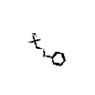 FC(F)(F)C(F)(F)CONc1ccccc1